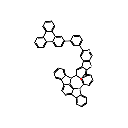 C1=c2sc3cnc(-c4cccc(-c5ccc6c7ccccc7c7ccccc7c6c5)c4)cc3c2=CC(n2c3ccccc3c3ccc4c5ccccc5n(-c5ccccc5)c4c32)C1